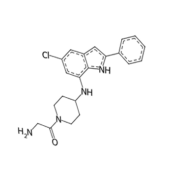 NCC(=O)N1CCC(Nc2cc(Cl)cc3cc(-c4ccccc4)[nH]c23)CC1